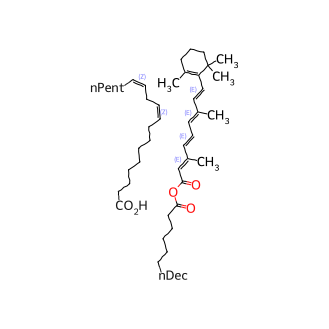 CCCCC/C=C\C/C=C\CCCCCCCC(=O)O.CCCCCCCCCCCCCCCC(=O)OC(=O)/C=C(C)/C=C/C=C(C)/C=C/C1=C(C)CCCC1(C)C